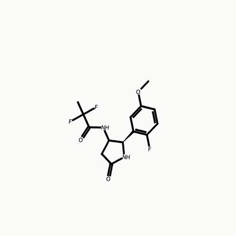 COc1ccc(F)c([C@H]2NC(=O)CC2NC(=O)C(C)(F)F)c1